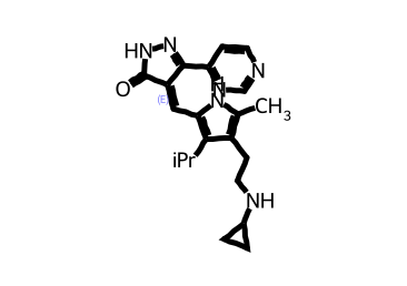 Cc1[nH]c(/C=C2/C(=O)NN=C2c2ccncn2)c(C(C)C)c1CCNC1CC1